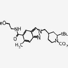 COCCNC(=O)c1cc2cn(CC3CCN(C(=O)O)C(C(C)(C)C)C3)nc2cc1C